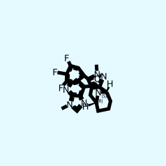 Cn1nc2c(c1-c1cc(F)c(F)c(F)c1)C[C@H]1CCC[C@@H]2N1C(=O)c1ccnc2c1ncn2C